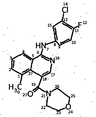 Cc1cccc2c(Nc3ccc(F)c(Cl)c3)ncc(C(=O)N3CCOCC3)c12